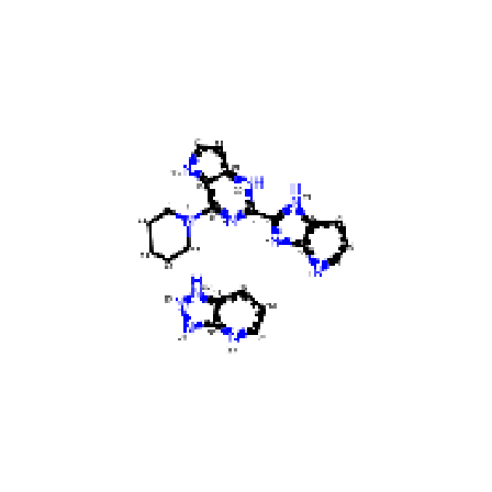 c1cnc2nc(-c3nc(N4CCCCC4)c4nccc-4[nH]3)[nH]c2c1.c1cnc2nn[nH]c2c1